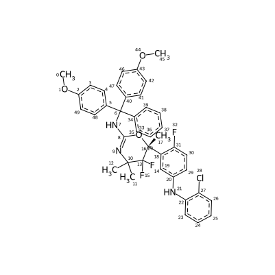 COc1ccc(C(NC2=NC(C)(C)C(F)(F)[C@@](C)(c3cc(Nc4ccccc4Cl)ccc3F)O2)(c2ccccc2)c2ccc(OC)cc2)cc1